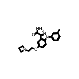 Cc1cccc(-n2nc(C(N)=O)c3cc(OCCN4CCC4)ccc32)c1